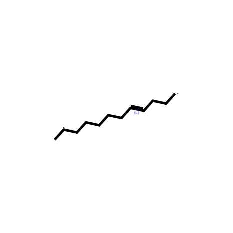 [CH2]CC/C=C/CCCCC[CH]C